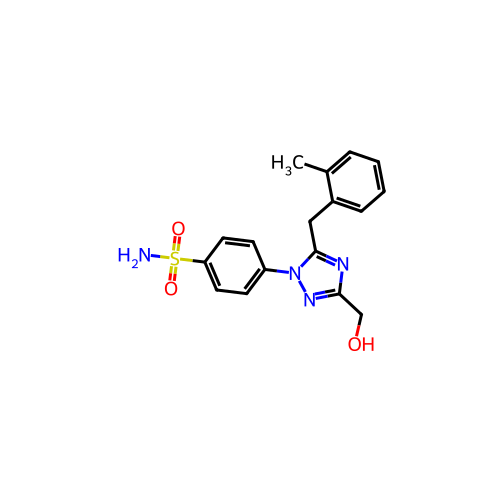 Cc1ccccc1Cc1nc(CO)nn1-c1ccc(S(N)(=O)=O)cc1